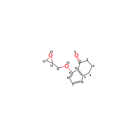 O=C1CCCc2cccc(OCC3CO3)c21